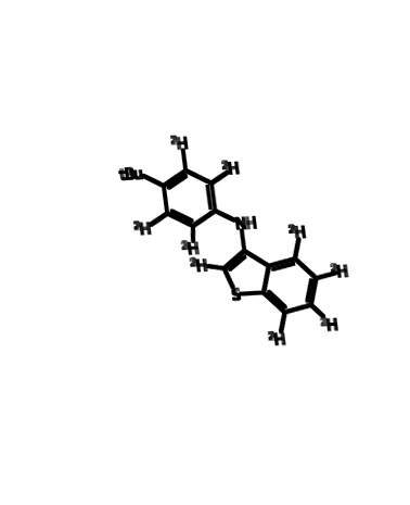 [2H]c1sc2c([2H])c([2H])c([2H])c([2H])c2c1Nc1c([2H])c([2H])c(C(C)(C)C)c([2H])c1[2H]